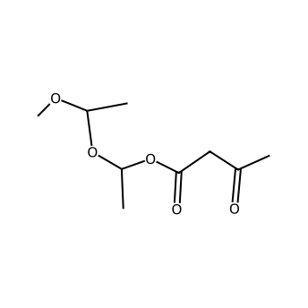 COC(C)OC(C)OC(=O)CC(C)=O